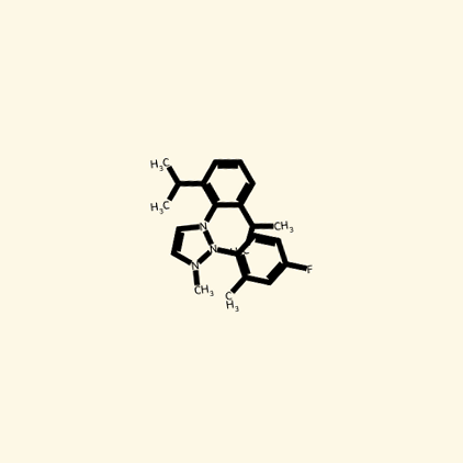 Cc1cc(F)ccc1N1N(C)C=CN1c1c(C(C)C)cccc1C(C)C